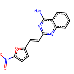 Nc1nc(C=Cc2ccc([N+](=O)[O-])o2)nc2ccccc12